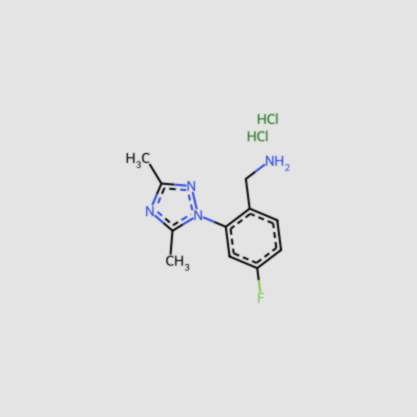 Cc1nc(C)n(-c2cc(F)ccc2CN)n1.Cl.Cl